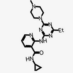 CCc1nc(Nc2ncccc2C(=O)NC2CC2)nc(N2CCN(C)CC2)n1